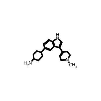 CN1CC=C(c2c[nH]c3ccc(C4CCC(N)CC4)cc23)CC1